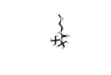 COCCOC(=O)N(C(C)(C)C)C(C)(C)C